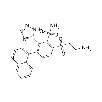 NCCS(=O)(=O)c1ccc(-c2ccnc3ccccc23)c(-c2nnn[nH]2)c1S(N)(=O)=O